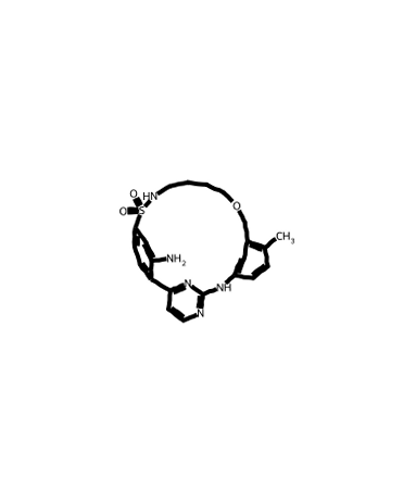 Cc1ccc2cc1COCCCCNS(=O)(=O)c1ccc(c(N)c1)-c1ccnc(n1)N2